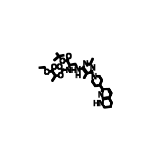 CCOC(=O)C(C)OC(=O)NC(CNc1nc(C)nc(N2CCC(c3ccc4c(n3)NCCC4)CC2)c1C)C(=O)OC(C)(C)C